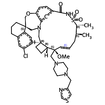 CO[C@]1(CN2CCN(Cc3cscn3)CC2)/C=C/C[C@H](C)[C@@H](C)S(=O)(=O)NC(=O)c2ccc3c(c2)N(C[C@@H]2CC[C@H]21)C[C@@]1(CCCc2cc(Cl)ccc21)CO3